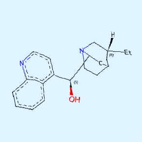 CC[C@H]1CN2CCC1CC2[C@@H](O)c1ccnc2ccccc12